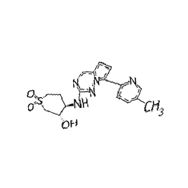 Cc1ccc(-c2ccc3cnc(N[C@@H]4CCS(=O)(=O)C[C@H]4O)nn23)nc1